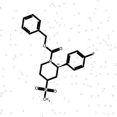 CS(=O)(=O)C1CCN(C(=O)OCc2ccccc2)[C@@H](c2ccc(F)cc2)C1